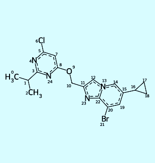 CC(C)c1nc(Cl)cc(OCc2cn3cc(C4CC4)cc(Br)c3n2)n1